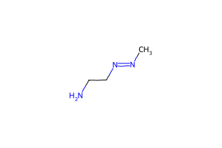 CN=NCCN